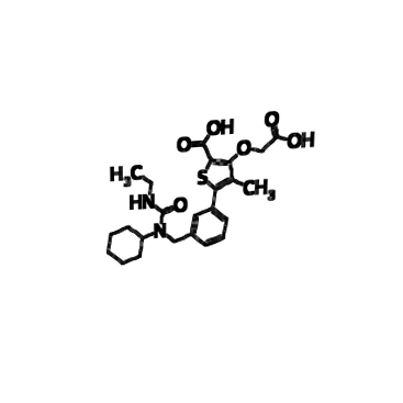 CCNC(=O)N(Cc1cccc(-c2sc(C(=O)O)c(OCC(=O)O)c2C)c1)C1CCCCC1